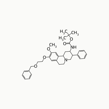 COc1cc2c(cc1OCCOCc1ccccc1)CCN1CC(c3ccccc3)C(NC(=O)OC(C)(C)C)CC21